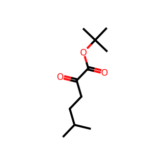 CC(C)CCC(=O)C(=O)OC(C)(C)C